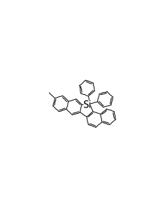 Cc1ccc2cc3c(cc2c1)[Si](c1ccccc1)(c1ccccc1)c1c-3ccc2ccccc12